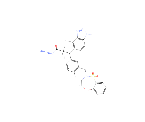 CC[C@@H]1CN(Cc2cc(C(c3ccc4c(nnn4CC)c3C)C(C)(C)C(=O)N=[N+]=[N-])ccc2C)S(=O)(=O)c2ccccc2O1